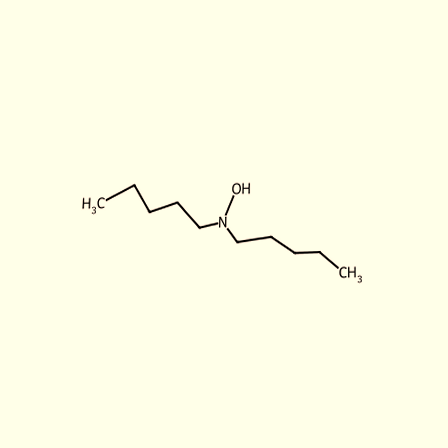 CCCCCN(O)CCCCC